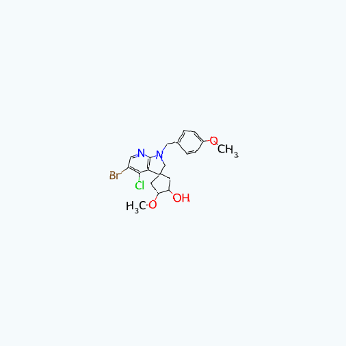 COc1ccc(CN2CC3(CC(O)C(OC)C3)c3c2ncc(Br)c3Cl)cc1